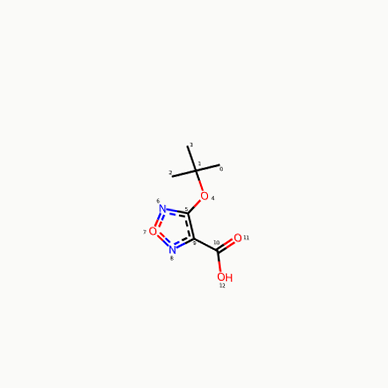 CC(C)(C)Oc1nonc1C(=O)O